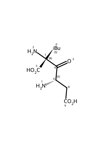 CC[C@H](C)[C@](N)(C(=O)O)C(=O)[C@@H](N)CC(=O)O